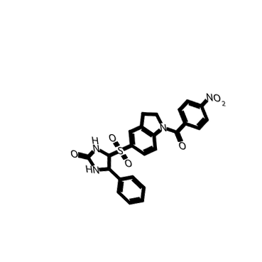 O=C1NC(c2ccccc2)C(S(=O)(=O)c2ccc3c(c2)CCN3C(=O)c2ccc([N+](=O)[O-])cc2)N1